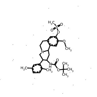 COc1cc2c(cc1OS(C)(=O)=O)CCN1CC(c3cc(C)ccc3C)C(NC(=O)OC(C)(C)C)CC21